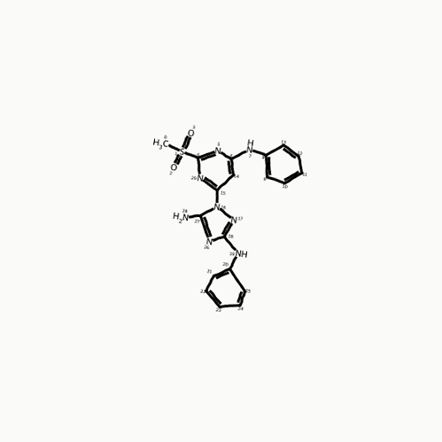 CS(=O)(=O)c1nc(Nc2ccccc2)cc(-n2nc(Nc3ccccc3)nc2N)n1